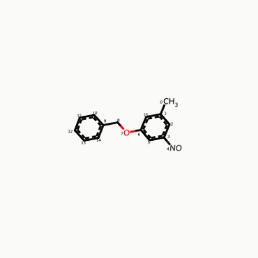 Cc1cc(N=O)cc(OCc2ccccc2)c1